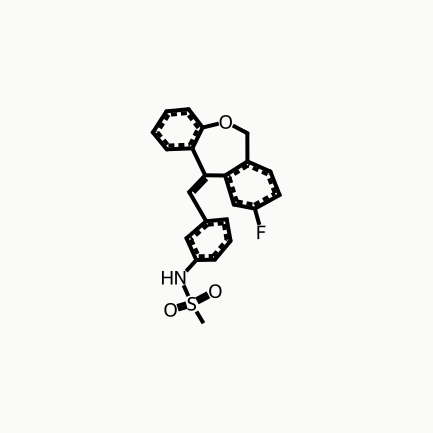 CS(=O)(=O)Nc1cccc(/C=C2\c3cc(F)ccc3COc3ccccc32)c1